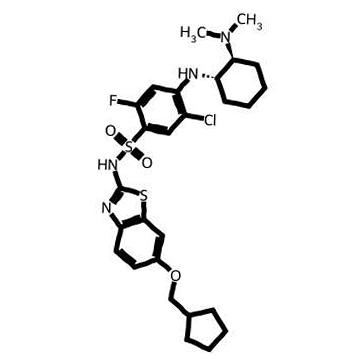 CN(C)[C@H]1CCCC[C@@H]1Nc1cc(F)c(S(=O)(=O)Nc2nc3ccc(OCC4CCCC4)cc3s2)cc1Cl